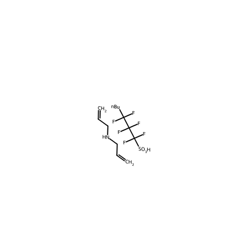 C=CCNCC=C.CCCCC(F)(F)C(F)(F)C(F)(F)S(=O)(=O)O